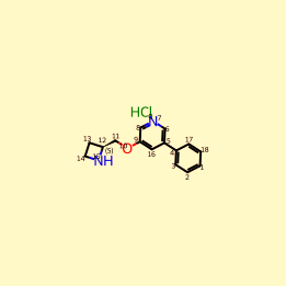 Cl.c1ccc(-c2cncc(OC[C@@H]3CCN3)c2)cc1